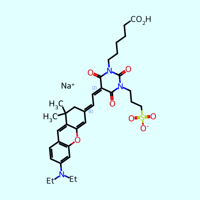 CCN(CC)c1ccc2c(c1)OC1=C/C(=C/C=C3/C(=O)N(CCCCCC(=O)O)C(=O)N(CCCS(=O)(=O)[O-])C3=O)CC(C)(C)C1=C2.[Na+]